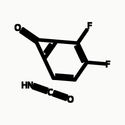 N=C=O.O=c1c2ccc(F)c(F)c12